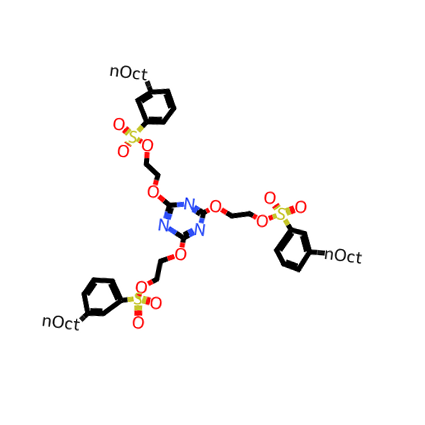 CCCCCCCCc1cccc(S(=O)(=O)OCCOc2nc(OCCOS(=O)(=O)c3cccc(CCCCCCCC)c3)nc(OCCOS(=O)(=O)c3cccc(CCCCCCCC)c3)n2)c1